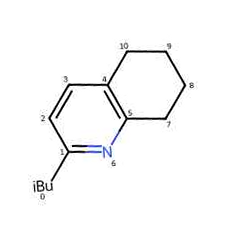 CCC(C)c1ccc2c(n1)CCCC2